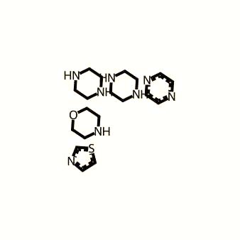 C1CNCCN1.C1CNCCN1.C1COCCN1.c1cnccn1.c1cscn1